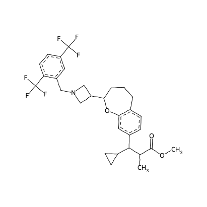 COC(=O)C(C)C(c1ccc2c(c1)OC(C1CN(Cc3cc(C(F)(F)F)ccc3C(F)(F)F)C1)CCC2)C1CC1